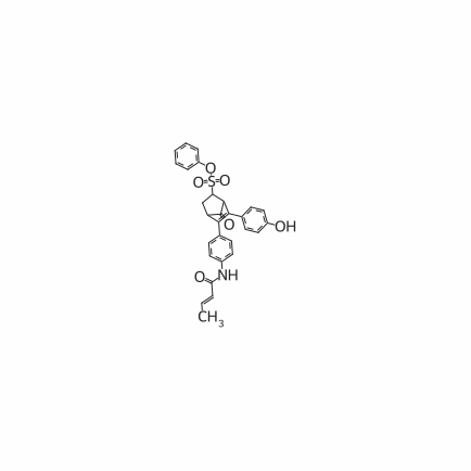 CC=CC(=O)Nc1ccc(C2=C(c3ccc(O)cc3)C3C(=O)C2CC3S(=O)(=O)Oc2ccccc2)cc1